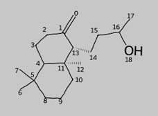 C=C1CCC2C(C)(C)CCC[C@]2(C)[C@H]1CCC(C)O